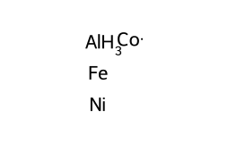 [AlH3].[Co].[Fe].[Ni]